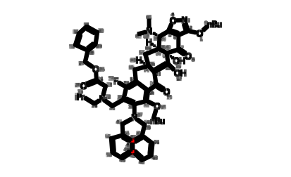 CCCCOc1noc2c1C(=O)[C@@]1(O)C(O)=C3C(=O)c4c(c(F)c(CN(CC(=O)OCc5ccccc5)CC(C)C)c(N(Cc5ccccc5)Cc5ccccc5)c4OCCCC)C[C@H]3C[C@H]1[C@@H]2N(C)C